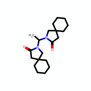 CC(N1CC2(CCCCC2)CC1=O)N1CC2(CCCCC2)CC1=O